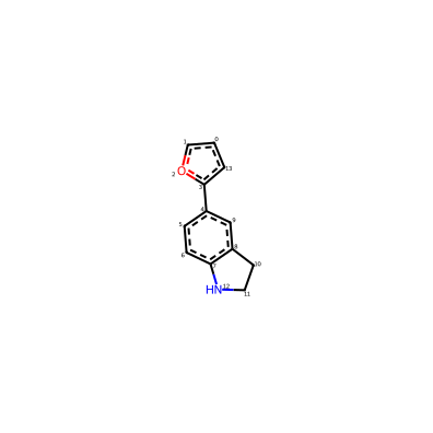 c1coc(-c2ccc3c(c2)CCN3)c1